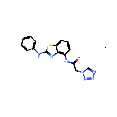 O=C(Cn1cnnn1)Nc1cccc2sc(Nc3ccccc3)nc12